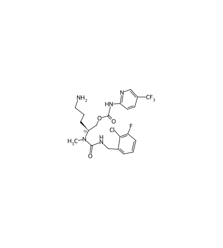 CN(C(=O)NCc1cccc(F)c1Cl)[C@@H](CCCN)COC(=O)Nc1ccc(C(F)(F)F)cn1